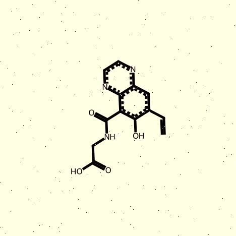 C=Cc1cc2nccnc2c(C(=O)NCC(=O)O)c1O